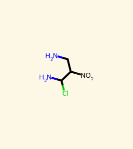 NCC(C(N)Cl)[N+](=O)[O-]